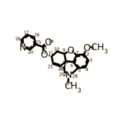 COc1ccc2c3c1OC1C[C@@H](OC(=O)c4cccnc4)C=C[C@@]31CCN(C)C2